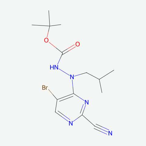 CC(C)CN(NC(=O)OC(C)(C)C)c1nc(C#N)ncc1Br